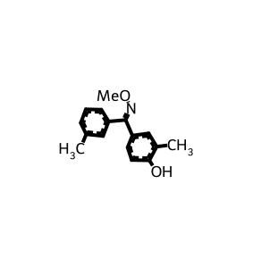 CO/N=C(\c1cccc(C)c1)c1ccc(O)c(C)c1